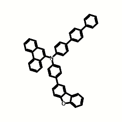 c1ccc(-c2ccc(-c3ccc(N(c4ccc(-c5ccc6oc7ccccc7c6c5)cc4)c4cc5ccccc5c5ccccc45)cc3)cc2)cc1